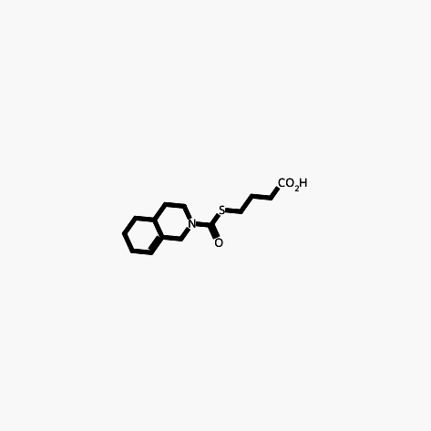 O=C(O)CCCSC(=O)N1CCC2CCCC=C2C1